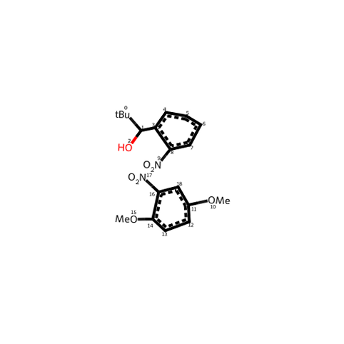 CC(C)(C)C(O)c1ccccc1[N+](=O)[O-].COc1ccc(OC)c([N+](=O)[O-])c1